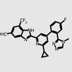 Cn1cnnc1-c1cc(F)ccc1-c1cc(-c2nc3cc(C=O)cc(C(F)(F)F)c3[nH]2)nc(C2CC2)c1